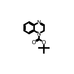 CC(C)(C)OC(=O)N1CC=Nc2ccccc21